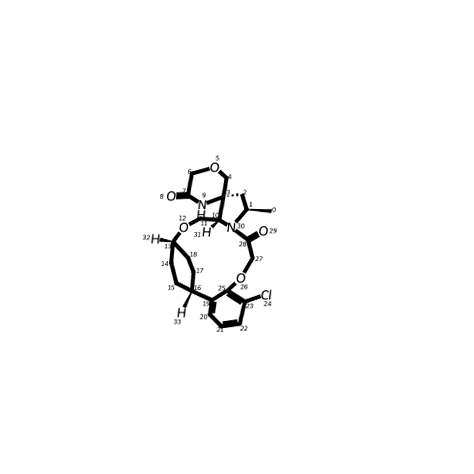 C[C@@H]1C[C@]2(COCC(=O)N2)[C@H]2CO[C@H]3CC[C@H](CC3)c3cccc(Cl)c3OCC(=O)N12